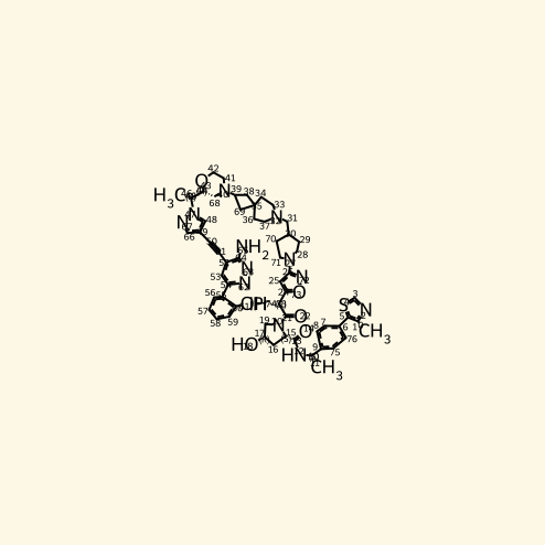 Cc1ncsc1-c1ccc([C@H](C)NC(=O)[C@@H]2C[C@@H](O)CN2C(=O)[C@@H](c2cc(N3CCC(CN4CCC5(CC4)CC(N4CCO[C@@H]([C@@H](C)n6cc(C#Cc7cc(-c8ccccc8O)nnc7N)cn6)C4)C5)CC3)no2)C(C)C)cc1